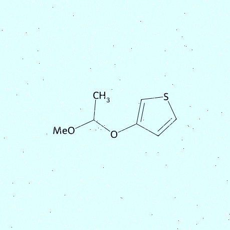 COC(C)Oc1ccsc1